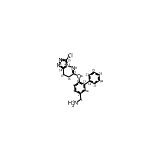 NCc1ccc(OC2=Nn3c(Cl)nnc3CC2)c(-c2ccccc2)c1